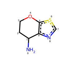 NC1CCOc2scnc21